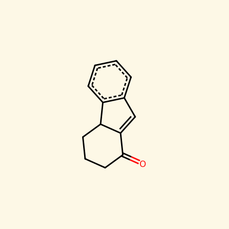 O=C1CCCC2C1=Cc1ccccc12